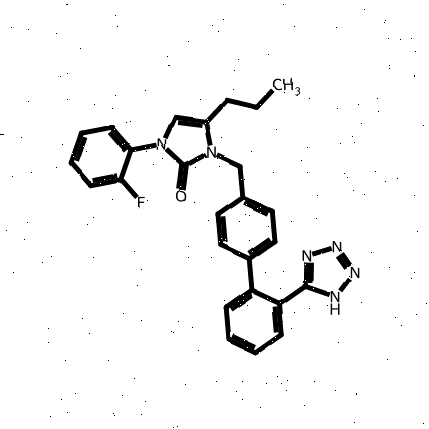 CCCc1cn(-c2ccccc2F)c(=O)n1Cc1ccc(-c2ccccc2-c2nnn[nH]2)cc1